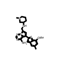 COc1cc(C)cc2cc(-c3cc(CNC4CCCN(C)C4)n4ncnc(N)c34)sc12